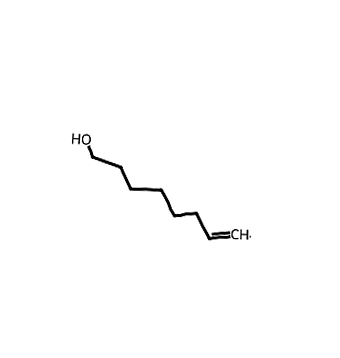 [CH]=CCCCCCCO